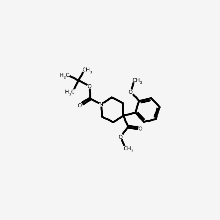 COC(=O)C1(c2ccccc2OC)CCN(C(=O)OC(C)(C)C)CC1